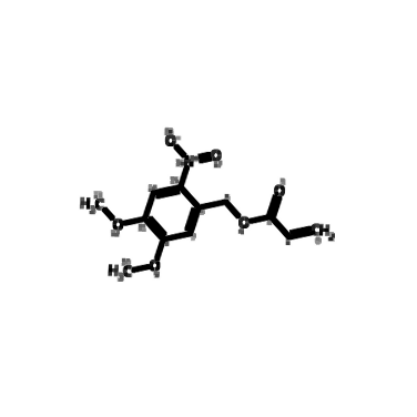 C=CC(=O)OCc1cc(OC)c(OC)cc1[N+](=O)[O-]